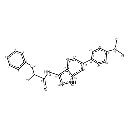 CC(Oc1ccccc1)C(=O)Nc1n[nH]c2cc(-c3ccc(N(C)C)cc3)ccc12